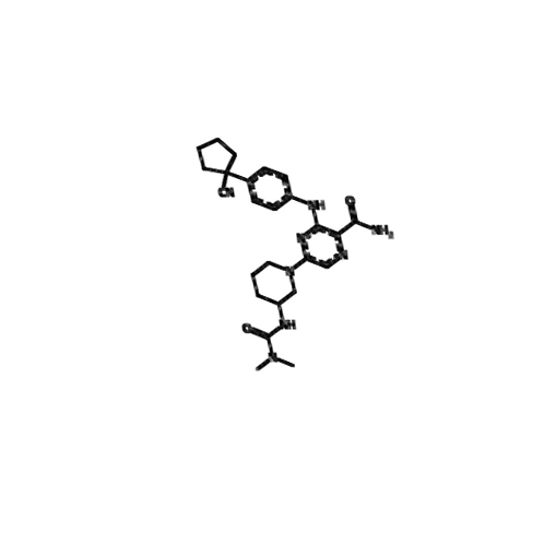 CN(C)C(=O)NC1CCCN(c2cnc(C(N)=O)c(Nc3ccc(C4(C#N)CCCC4)cc3)n2)C1